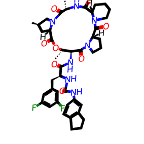 C[C@@H]1C[C@H]2C(=O)O[C@@H](C)[C@H](NC(=O)[C@H](Cc3cc(F)cc(F)c3)NC(=O)Nc3ccc4c(c3)CCC4)C(=O)N3CCC[C@H]3C(=O)N3CCCC[C@H]3C(=O)N[C@@H](C)C(=O)N2C1